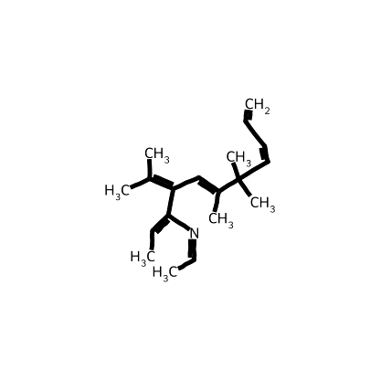 C=C/C=C\C(C)(C)/C(C)=C/C(=C(C)C)C(=C/C)/N=C\C